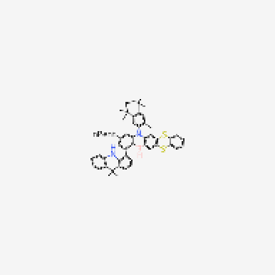 CCCCCc1cc(-c2cccc3c2Nc2ccccc2C3(C)C)c2c(c1)N(c1cc3c(cc1C)C(C)(C)CCC3(C)C)c1cc3c(cc1B2)Sc1ccccc1S3